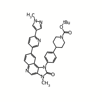 Cn1cc(-c2ccc(-c3ccc4ncc5c(c4c3)n(-c3ccc(C4CCN(C(=O)OC(C)(C)C)CC4)cc3)c(=O)n5C)cn2)cn1